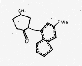 COc1cc(C2CC(C)CCC2=O)c2ccccc2c1